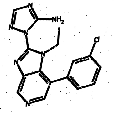 CCn1c(-n2ncnc2N)nc2cncc(-c3cccc(Cl)c3)c21